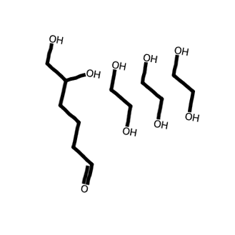 O=CCCCC(O)CO.OCCO.OCCO.OCCO